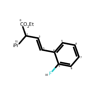 CCOC(=O)C(C=Cc1ccccc1F)C(C)C